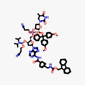 COc1ccc(C(OC[C@H]2O[C@@H](N3CC(C)C(=O)NC3=O)C[C@H]2O[PH](O)(OCCC#N)OC[C@H]2O[C@@H](n3cnc4c(NC(=O)c5ccc(CNC(=O)OCC6c7ccccc7-c7ccccc76)cc5)ncnc43)C[C@H]2OP(OCCC#N)N(C(C)C)C(C)C)(c2ccccc2)c2ccc(OC)cc2)cc1